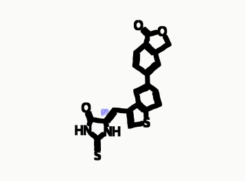 O=C1NC(=S)N/C1=C\c1csc2ccc(-c3ccc4c(c3)COC4=O)cc12